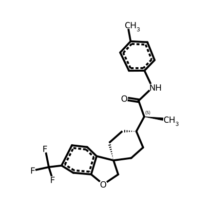 Cc1ccc(NC(=O)[C@@H](C)[C@H]2CC[C@]3(CC2)COc2cc(C(F)(F)F)ccc23)cc1